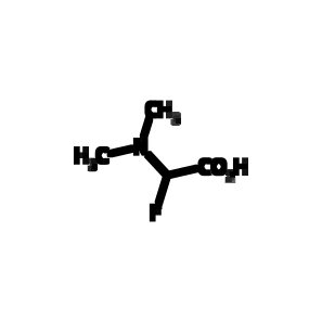 CN(C)C(F)C(=O)O